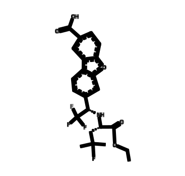 CCOC(=O)[C@H](CC(C)(C)F)N[C@@H](c1ccc2c(c1)oc1ccc(C(=O)O)cc12)C(F)(F)F